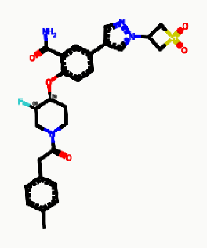 Cc1ccc(CC(=O)N2CC[C@H](Oc3ccc(-c4cnn(C5CS(=O)(=O)C5)c4)cc3C(N)=O)[C@H](F)C2)cc1